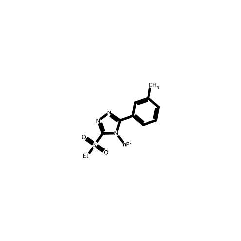 CCCn1c(-c2cccc(C)c2)nnc1S(=O)(=O)CC